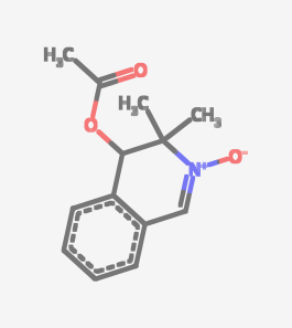 CC(=O)OC1c2ccccc2C=[N+]([O-])C1(C)C